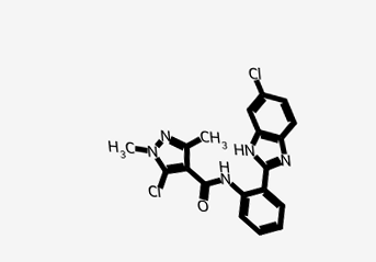 Cc1nn(C)c(Cl)c1C(=O)Nc1ccccc1-c1nc2ccc(Cl)cc2[nH]1